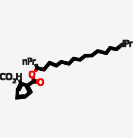 CCCC(CCCCCCCCCCCCCC(C)C)OC(=O)c1ccccc1C(=O)O